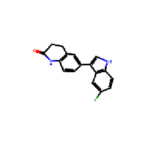 O=C1CCc2cc(-c3c[nH]c4ccc(F)cc34)ccc2N1